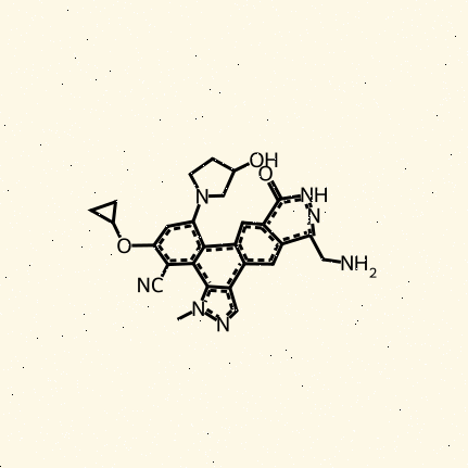 Cn1ncc2c3cc4c(CN)n[nH]c(=O)c4cc3c3c(N4CCC(O)C4)cc(OC4CC4)c(C#N)c3c21